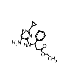 CCOC(=O)CC(Nc1nc(C2CC2)ncc1N)c1ccccc1